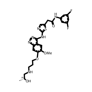 COc1cc2c(Nc3ncc(CC(=O)Nc4cc(F)cc(F)c4)s3)ncnc2cc1OCCCNC[C@@H](C)O